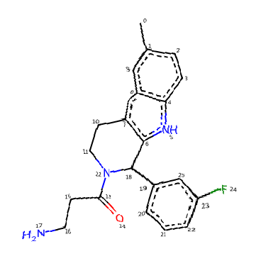 Cc1ccc2[nH]c3c(c2c1)CCN(C(=O)CCN)C3c1cccc(F)c1